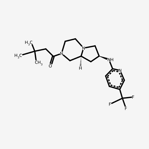 CC(C)(C)CC(=O)N1CCN2C[C@@H](Nc3ccc(C(F)(F)F)cn3)C[C@H]2C1